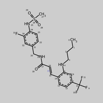 CCCCNc1nc(C(F)(F)F)ccc1/C=C/C(=O)NCc1ccc(NS(C)(=O)=O)c(F)c1